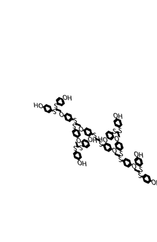 Oc1ccc(SC(COc2ccc(SC(COc3ccc(SCCSc4ccc(OCC(Sc5ccc(OCC(Sc6ccc(O)cc6)Sc6ccc(O)cc6)cc5)Sc5ccc(OCC(Sc6ccc(O)cc6)Sc6ccc(O)cc6)cc5)cc4)cc3)Sc3ccc(OCC(Sc4ccc(O)cc4)Sc4ccc(O)cc4)cc3)cc2)Sc2ccc(O)cc2)cc1